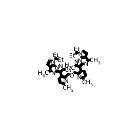 CCC(CC)n1ccc2c(C)nc3c(-c4ccc(C)nc4COCc4nc(C)ccc4-c4c(C)nn5c4nc(C)c4ccn(C(CC)CC)c45)c(C)nn3c21